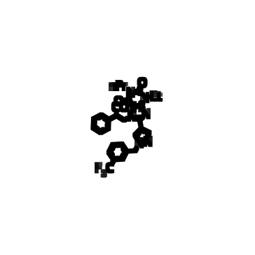 CCCn1c(=O)c2c(nc(-c3cnn(Cc4cccc(C(F)(F)F)c4)c3)n2CC(C(=O)O)c2ccccc2)n(CC)c1=O